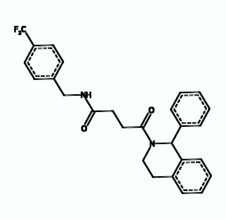 O=C(CCC(=O)N1CCc2ccccc2C1c1ccccc1)NCc1ccc(C(F)(F)F)cc1